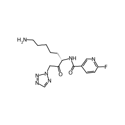 NCCCCC[C@H](NC(=O)c1ccc(F)nc1)C(=O)Cn1ncnn1